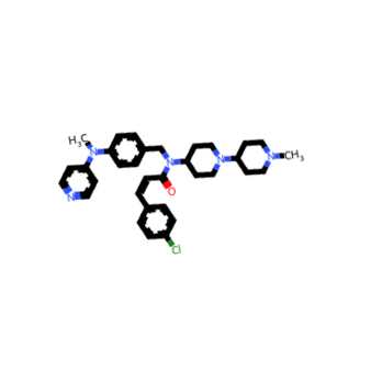 CN1CCC(N2CCC(N(Cc3ccc(N(C)c4ccncc4)cc3)C(=O)C=Cc3ccc(Cl)cc3)CC2)CC1